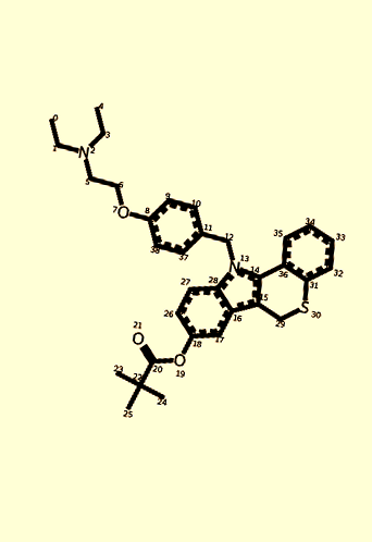 CCN(CC)CCOc1ccc(Cn2c3c(c4cc(OC(=O)C(C)(C)C)ccc42)CSc2ccccc2-3)cc1